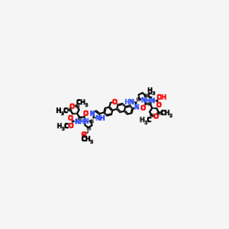 COC[C@H]1C[C@@H](c2ncc(-c3ccc4c(c3)COc3cc5c(ccc6nc([C@@H]7CC[C@H](C)N7C(=O)[C@@H](NC(=O)O)C7C[C@@H](C)O[C@H](C)C7)[nH]c65)cc3-4)[nH]2)N(C(=O)[C@@H](NC(=O)OC)C2C[C@@H](C)O[C@H](C)C2)C1